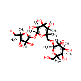 CC1(CO[C@@]2(C)OC(C)(CO)[C@](C)(O)[C@](C)(O)C2(C)O)O[C@](C)(O[C@@H]2O[C@](C)(CO)[C@](C)(O)C2(C)O)[C@@](C)(O)C(C)(O)[C@]1(C)O